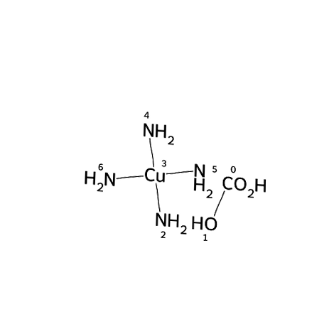 O=C(O)O.[NH2][Cu]([NH2])([NH2])[NH2]